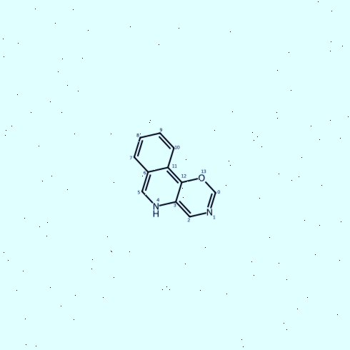 C1=NC=C2NC=c3ccccc3=C2O1